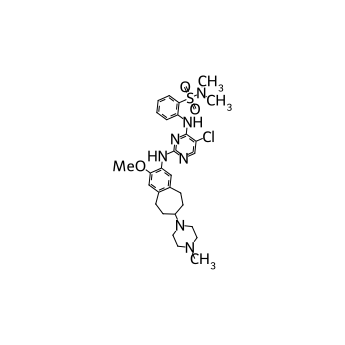 COc1cc2c(cc1Nc1ncc(Cl)c(Nc3ccccc3S(=O)(=O)N(C)C)n1)CCC(N1CCN(C)CC1)CC2